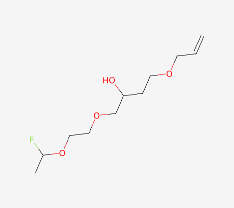 C=CCOCCC(O)COCCOC(C)F